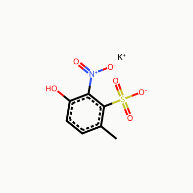 Cc1ccc(O)c([N+](=O)[O-])c1S(=O)(=O)[O-].[K+]